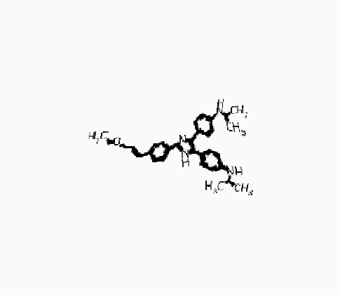 CCOCC=Cc1ccc(-c2nc(-c3ccc(NC(C)C)cc3)c(-c3ccc(NC(C)C)cc3)[nH]2)cc1